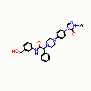 CC(C)n1ncn(-c2ccc(N3CCN(C(C(=O)Nc4cccc(CO)c4)c4ccccc4)CC3)cc2)c1=O